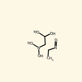 CCN=O.OC(O)CN(O)O